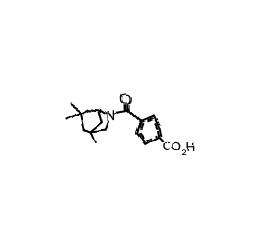 CC1(C)CC2CC(C)(CN2C(=O)c2ccc(C(=O)O)cc2)C1